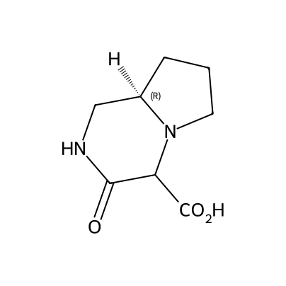 O=C(O)C1C(=O)NC[C@H]2CCCN12